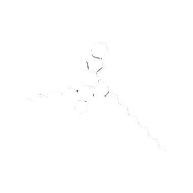 CCCCCCCCCCCC(=O)O[C@H](c1ccc2c(c1)OCCO2)[C@@H](CN1CCCC1)NC(=O)CCCCCCC